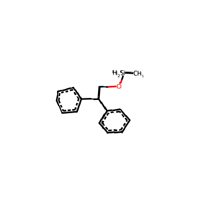 C[SiH2]OCC(c1ccccc1)c1ccccc1